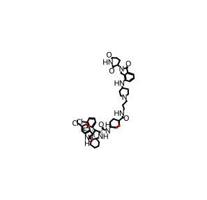 O=C1CCC(N2Cc3c(NC4CCN(CCCNC(=O)C56CCC(NC(=O)[C@@H]7NC8(CCCCC8)[C@@]8(C(=O)Nc9cc(Cl)ccc98)[C@H]7c7cccc(Cl)c7F)(CC5)CC6)CC4)cccc3C2=O)C(=O)N1